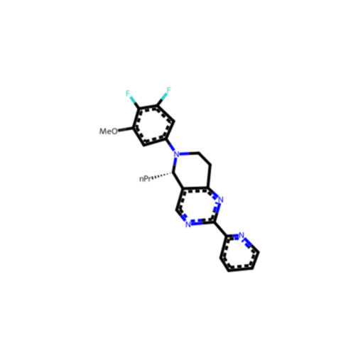 CCC[C@H]1c2cnc(-c3ccccn3)nc2CCN1c1cc(F)c(F)c(OC)c1